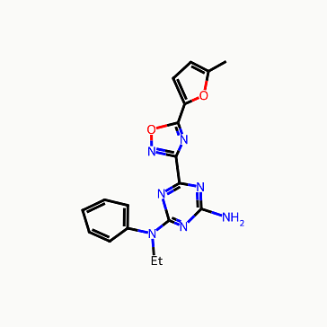 CCN(c1ccccc1)c1nc(N)nc(-c2noc(-c3ccc(C)o3)n2)n1